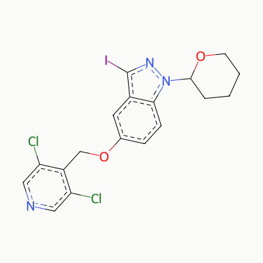 Clc1cncc(Cl)c1COc1ccc2c(c1)c(I)nn2C1CCCCO1